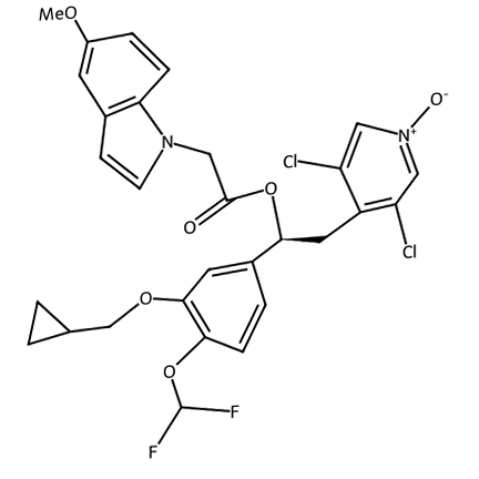 COc1ccc2c(ccn2CC(=O)O[C@@H](Cc2c(Cl)c[n+]([O-])cc2Cl)c2ccc(OC(F)F)c(OCC3CC3)c2)c1